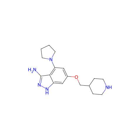 Nc1n[nH]c2cc(OCC3CCNCC3)cc(N3CCCC3)c12